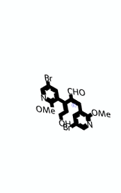 COc1ncc(Br)cc1/C=C(/C=O)C(=CCO)c1cc(Br)cnc1OC